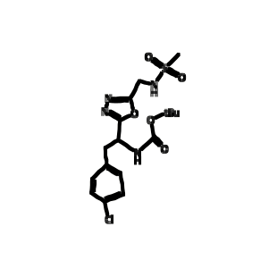 CC(C)(C)OC(=O)NC(Cc1ccc(Cl)cc1)c1nnc(CNS(C)(=O)=O)o1